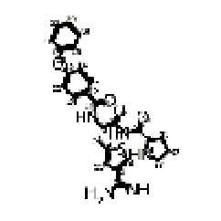 N=C(N)c1csc(C[C@H](NC(=O)c2ccc(Oc3ccccc3)cc2)C(=O)NC(=O)[C@H]2CCCN2)c1